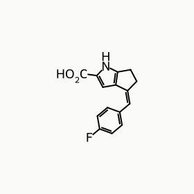 O=C(O)c1cc2c([nH]1)CC/C2=C/c1ccc(F)cc1